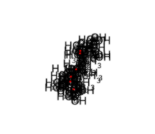 CC(=O)OC1C(C)OC(OC2C(C)OC(OC(=O)[C@]34CCC(C)(C)CC3C3=CCC5[C@@]6(C)CC[C@H](OC7OC(C(=O)NC(C)(CO)CO)C(O)C(OC8OCC(O)C(O)C8O)C7OC7OC(CO)C(O)C(O)C7O)[C@@](C)(C=O)C6CC[C@@]5(C)[C@]3(C)C[C@H]4O)C(OC3OC(C)C(OC4OCC(O)C(OC5OC(CO)C(O)C(O)C5O)C4O)C(O)C3O)C2O)C(O)C1OC1OCC(O)C(O)C1O